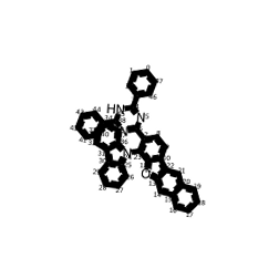 c1ccc(C2=NC(c3ccc4c(oc5cc6ccccc6cc54)c3-n3c4ccccc4c4ccccc43)=NC(c3ccccc3)N2)cc1